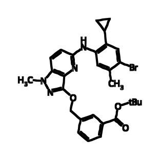 Cc1cc(Nc2ccc3c(n2)c(OCc2cccc(C(=O)OC(C)(C)C)c2)nn3C)c(C2CC2)cc1Br